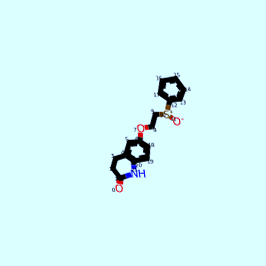 O=C1CCc2cc(OCC[S+]([O-])c3ccccc3)ccc2N1